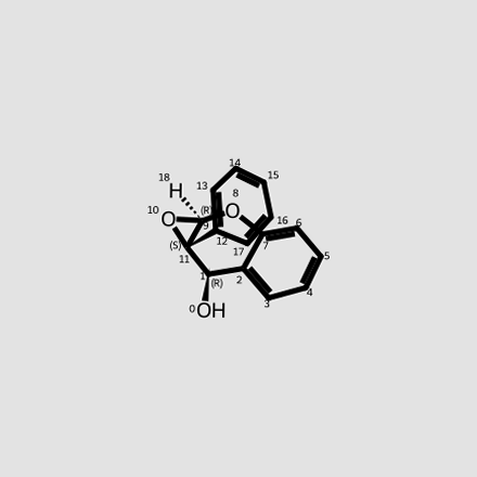 O[C@@H]1c2ccccc2O[C@@H]2O[C@]21c1ccccc1